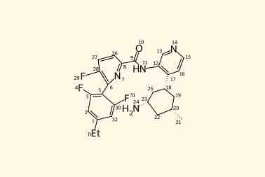 CCc1cc(F)c(-c2nc(C(=O)Nc3cnccc3[C@@H]3C[C@H](C)C[C@H](N)C3)ccc2F)c(F)c1